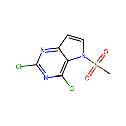 CS(=O)(=O)n1ccc2nc(Cl)nc(Cl)c21